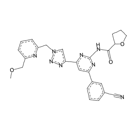 COCc1cccc(Cn2cc(-c3cc(-c4cccc(C#N)c4)nc(NC(=O)C4CCCO4)n3)nn2)n1